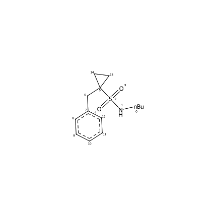 CCCCNS(=O)(=O)C1(Cc2ccccc2)CC1